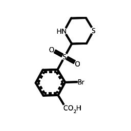 O=C(O)c1cccc(S(=O)(=O)C2CSCCN2)c1Br